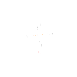 CCCC[P+](C)(C)CCCC.[OH-]